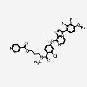 CCOc1ccc(-c2cnc3c(Nc4ccc(C(=O)N(C)CCCOC(=O)c5ccncc5)c(Cl)c4)nccn23)c(F)c1F